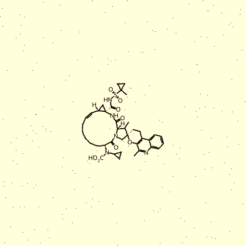 Cc1nc2ccccc2c2c1O[C@@]1(CC2)CN2C(=O)[C@@H](N(C(=O)O)C3CC3)CCCCC/C=C\[C@@H]3C[C@@]3(C(=O)NS(=O)(=O)C3(C)CC3)NC(=O)[C@@H]2C1C